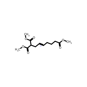 COC(=O)CCC/C=C/CC(C(=O)OC)C(=O)OC